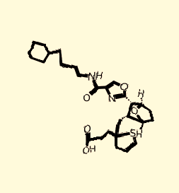 O=C(O)CCC1(C[C@@H]2[C@H](c3nc(C(=O)NCCCCC4CCCCC4)co3)[C@H]3CC[C@H]2O3)CC=CS1